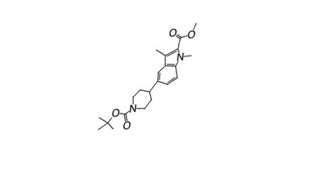 COC(=O)c1c(C)c2cc(C3CCN(C(=O)OC(C)(C)C)CC3)ccc2n1C